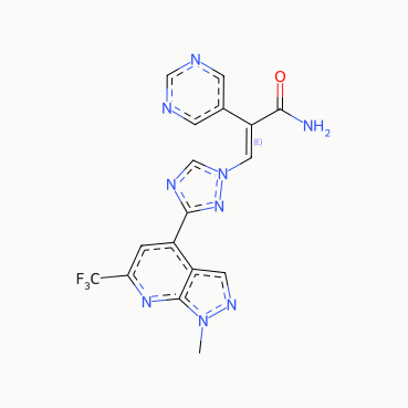 Cn1ncc2c(-c3ncn(/C=C(/C(N)=O)c4cncnc4)n3)cc(C(F)(F)F)nc21